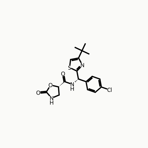 CC(C)(C)c1csc([C@@H](NC(=O)[C@@H]2CNC(=O)O2)c2ccc(Cl)cc2)n1